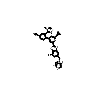 Cn1cnnc1-c1cc(C#N)ccc1-c1cc(-c2nc3cc(CN4C[C@@H]5C[C@H]4CO5)cc(F)c3o2)nc(C2CC2)c1